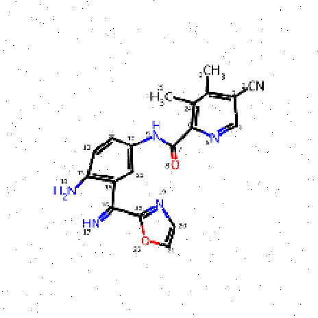 Cc1c(C#N)cnc(C(=O)Nc2ccc(N)c(C(=N)c3ncco3)c2)c1C